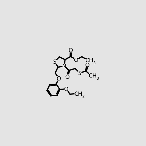 CCOC(=O)C1CSC(COc2ccccc2OCC)N1C(=O)CSC(C)=O